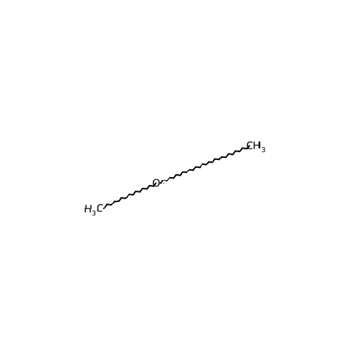 CCCCCCCCCCCCCCCCCCCCCCCCCCC[CH]OCCCCCCCCCCCCCCCC